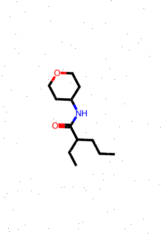 CCCC(CC)C(=O)NC1CCOCC1